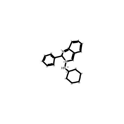 C1=c2ccccc2=NC(c2ccccc2)N1NC1CCCCC1